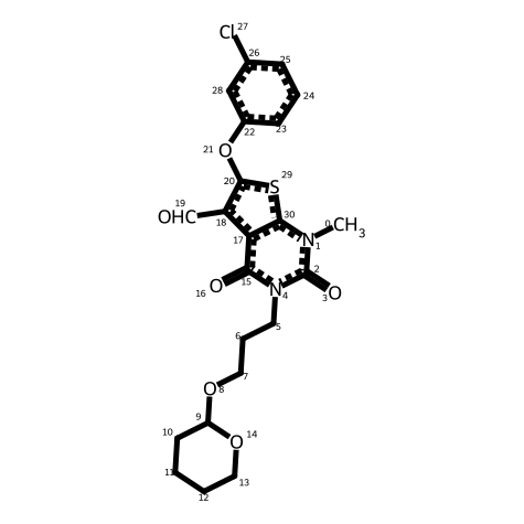 Cn1c(=O)n(CCCOC2CCCCO2)c(=O)c2c(C=O)c(Oc3cccc(Cl)c3)sc21